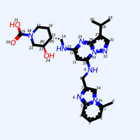 Cc1cccc2nc(CNc3cc(NC[C@H]4CCN(C(=O)O)C[C@@H]4O)nc4c(C(C)C)cnn34)cn12